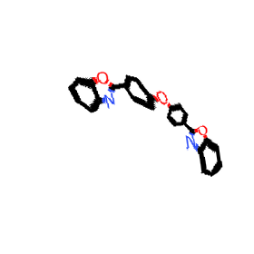 c1ccc2oc(-c3ccc(Oc4ccc(-c5nc6ccccc6o5)cc4)cc3)nc2c1